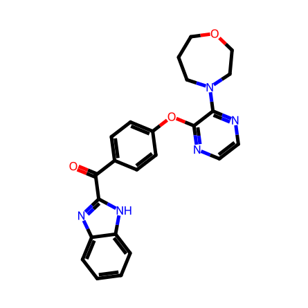 O=C(c1ccc(Oc2nccnc2N2CCCOCC2)cc1)c1nc2ccccc2[nH]1